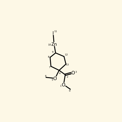 COC(=O)C1(OC)CC[CH]([Zn][I])CC1